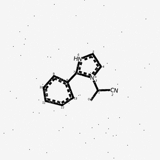 CC(C#N)[n+]1cc[nH]c1-c1ccccc1